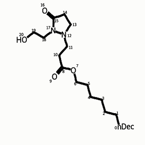 CCCCCCCCCCCCCCCCOC(=O)CCN1CCC(=O)N1CCO